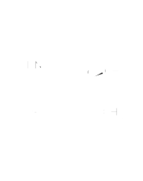 CC1=CC(C)=C(N)C[C@H]1C